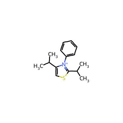 CC(C)c1csc(C(C)C)[n+]1-c1ccccc1